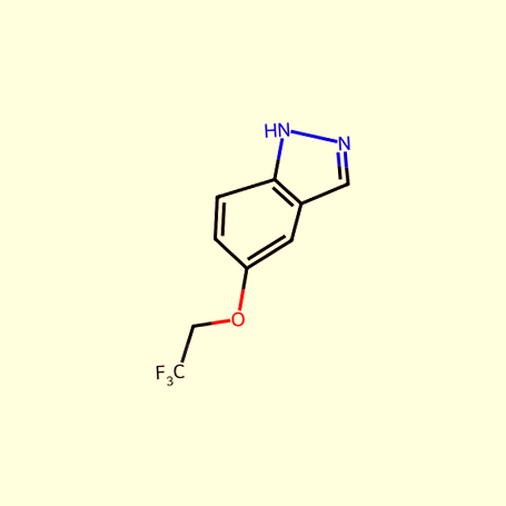 FC(F)(F)COc1ccc2[nH]ncc2c1